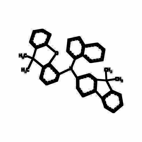 CC1(C)c2ccccc2-c2ccc(N(c3cccc4c3Oc3ccccc3C4(C)C)c3cccc4ccccc34)cc21